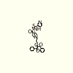 O=C([C@H]1CSC(c2cccnc2)N1)N1CCN(CCCOc2c(-c3ccccc3)oc3ccccc3c2=O)CC1